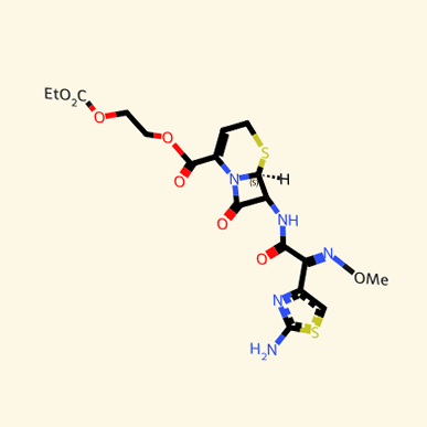 CCOC(=O)OCCOC(=O)C1=CCS[C@H]2C(NC(=O)C(=NOC)c3csc(N)n3)C(=O)N12